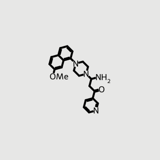 COc1ccc2cccc(N3CCN(C(N)CC(=O)c4cccnc4)CC3)c2c1